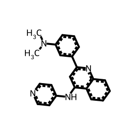 CN(C)c1cccc(-c2cc(Nc3ccncc3)c3ccccc3n2)c1